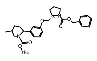 CC1CCC(c2cccc(OC[C@@H]3CCCN3C(=O)OCc3ccccc3)c2)N(C(=O)OC(C)(C)C)C1